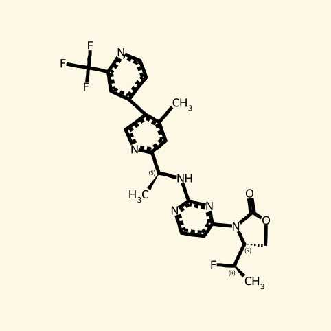 Cc1cc([C@H](C)Nc2nccc(N3C(=O)OC[C@@H]3[C@@H](C)F)n2)ncc1-c1ccnc(C(F)(F)F)c1